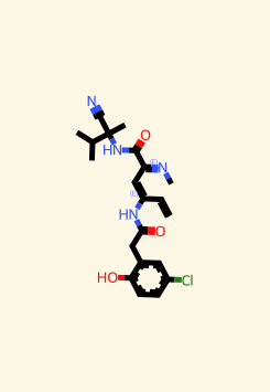 C=C/C(=C\C(=N/C)C(=O)NC(C)(C#N)C(C)C)NC(=O)Cc1cc(Cl)ccc1O